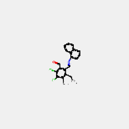 CCc1c(C)c(Cl)c(Cl)c(C=O)c1/C=N/c1cccc2ccccc12